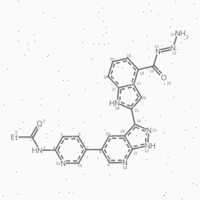 CCC(=O)Nc1ccc(-c2cnc3[nH]nc(-c4cc5c(C(=O)N=NN)cccc5[nH]4)c3c2)cn1